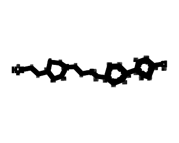 NCCC1CCN(CCSCc2ccc(-c3ccc(Cl)cc3)cc2)CC1